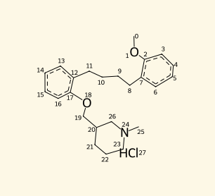 COc1ccccc1CCCCc1ccccc1OCC1CCCN(C)C1.Cl